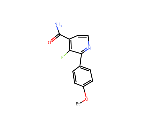 CCOc1ccc(-c2nccc(C(N)=O)c2F)cc1